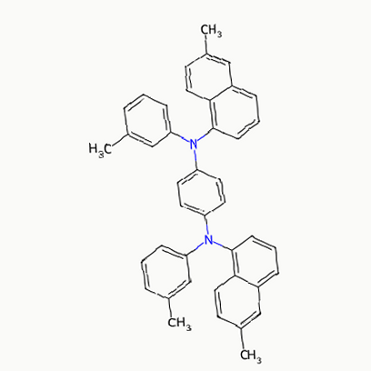 Cc1cccc(N(c2ccc(N(c3cccc(C)c3)c3cccc4cc(C)ccc34)cc2)c2cccc3cc(C)ccc23)c1